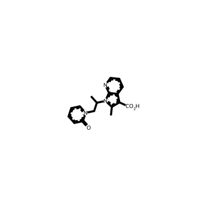 Cc1c(C(=O)O)c2cccnc2n1C(C)Cn1ccccc1=O